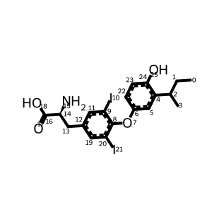 CCC(C)c1cc(Oc2c(I)cc(C[C@H](N)C(=O)O)cc2I)ccc1O